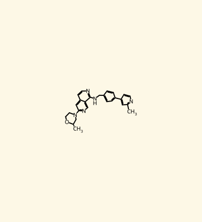 Cc1cc(-c2ccc(CNc3nccc4cc(N5CCO[C@H](C)C5)ncc34)cc2)ccn1